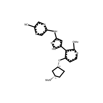 CN[C@H]1CC[C@@H](Oc2ccnc(OC)c2-c2cc(Nc3cnc(C#N)cn3)n[nH]2)C1